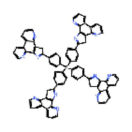 c1cnc2c3c(c4ncccc4c2c1)N=C(c1ccc([Si](c2ccc(C4=Nc5c(c6ncccc6c6cccnc56)C4)cc2)(c2ccc(C4=Nc5c(c6ncccc6c6cccnc56)C4)cc2)c2ccc(C4=Nc5c(c6ncccc6c6cccnc56)C4)cc2)cc1)C3